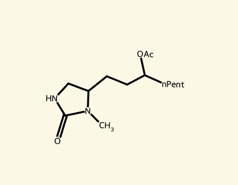 CCCCCC(CCC1CNC(=O)N1C)OC(C)=O